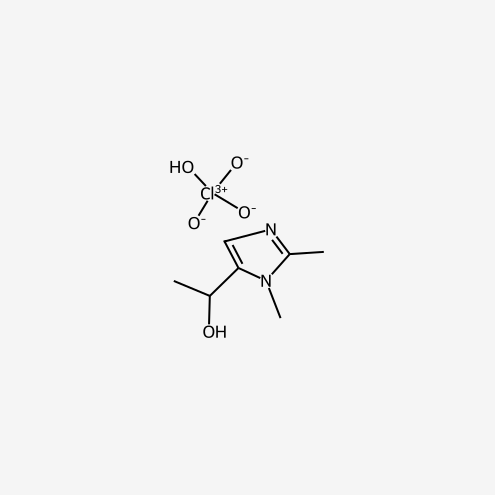 Cc1ncc(C(C)O)n1C.[O-][Cl+3]([O-])([O-])O